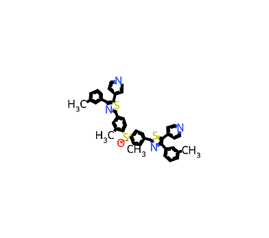 Cc1cccc(-c2nc(-c3ccc([S+]([O-])c4ccc(-c5nc(-c6cccc(C)c6)c(-c6ccncc6)s5)cc4C)c(C)c3)sc2-c2ccncc2)c1